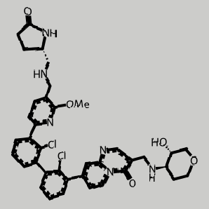 COc1nc(-c2cccc(-c3cccc(-c4ccn5c(=O)c(CN[C@@H]6CCOC[C@H]6O)cnc5c4)c3Cl)c2Cl)ccc1CNC[C@@H]1CCC(=O)N1